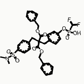 CN(C)S(=O)(=O)c1ccc(CC(Cc2ccc(OP(=O)(O)C(F)F)cc2)(C(=O)OCc2ccccc2)C(=O)OCc2ccccc2)cc1